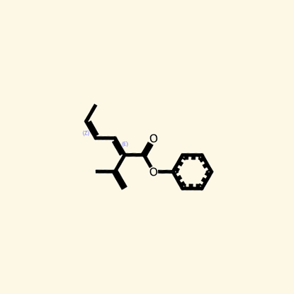 C=C(C)/C(=C\C=C/C)C(=O)Oc1ccccc1